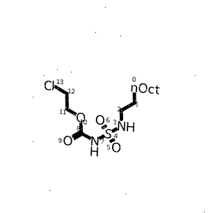 CCCCCCCCCCNS(=O)(=O)NC(=O)OCCCl